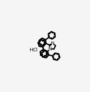 Cl.c1ccc(-c2cccc(-c3ccccc3)c2C2=NCCN2c2c(-c3ccccc3)cccc2-c2ccccc2)cc1